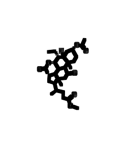 CC[C@H]1[C@@H](OC(C)=O)C2C3CC[C@H]([C@H](C)CCC(=O)OC)[C@@]3(C)CC(=O)C2[C@@]2(C)CC[C@@H](OC(C)=O)C[C@@H]12